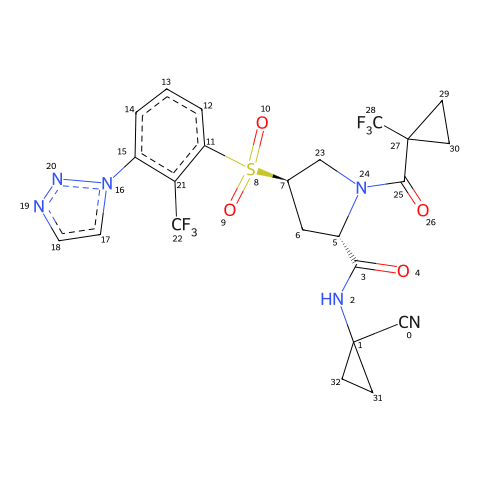 N#CC1(NC(=O)[C@@H]2C[C@@H](S(=O)(=O)c3cccc(-n4ccnn4)c3C(F)(F)F)CN2C(=O)C2(C(F)(F)F)CC2)CC1